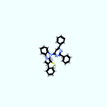 c1ccc(-c2cc(-n3c4ccccc4n4cc5c6ccccc6sc5c34)nc(-c3ccccc3)n2)cc1